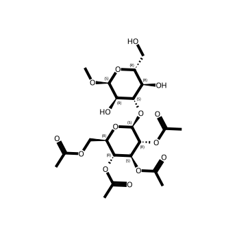 CO[C@H]1O[C@H](CO)[C@@H](O)[C@H](O[C@@H]2O[C@H](COC(C)=O)[C@@H](OC(C)=O)[C@H](OC(C)=O)[C@H]2OC(C)=O)[C@H]1O